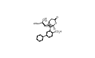 CCCCCCC(Cl)=C[C@@H]1[C@H](c2cc(-c3ccccc3)ccc2C(=O)O)[C@H]2OC(=O)C[C@@]1(O)C2(O)O